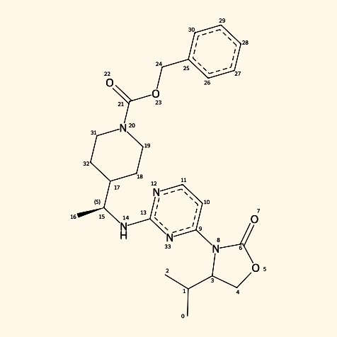 CC(C)C1COC(=O)N1c1ccnc(N[C@@H](C)C2CCN(C(=O)OCc3ccccc3)CC2)n1